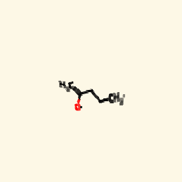 [CH2]CCC(=C)[O]